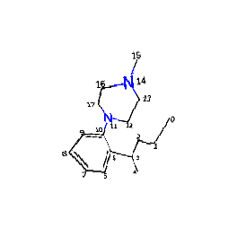 CCCC(C)c1ccccc1N1CCN(C)CC1